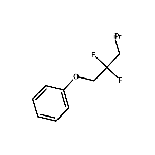 CC(C)CC(F)(F)COc1ccccc1